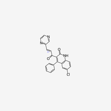 O=C(/C=C/c1cnccn1)c1c(-c2ccccc2)c2cc(Cl)ccc2[nH]c1=O